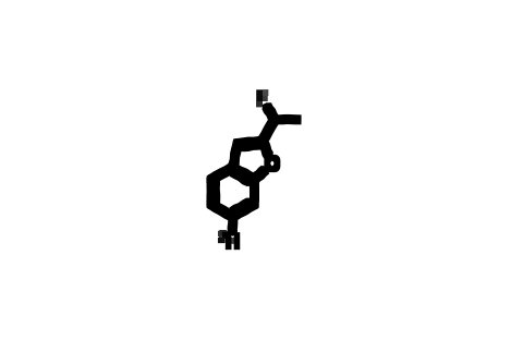 [2H]c1ccc2cc(C(C)F)oc2c1